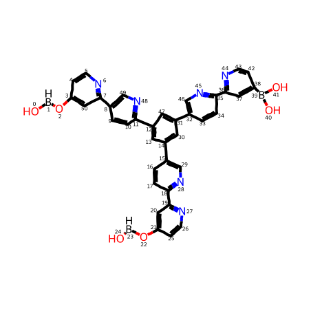 OBOc1ccnc(-c2ccc(-c3cc(-c4ccc(-c5cc(OBO)ccn5)nc4)cc(-c4ccc(-c5cc(B(O)O)ccn5)nc4)c3)nc2)c1